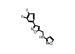 Fc1ccc(-c2cc(CNc3ccon3)on2)cc1F